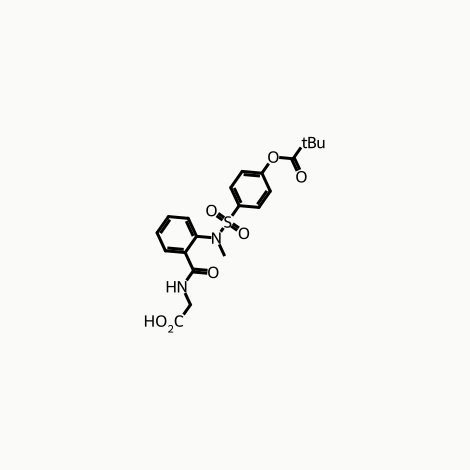 CN(c1ccccc1C(=O)NCC(=O)O)S(=O)(=O)c1ccc(OC(=O)C(C)(C)C)cc1